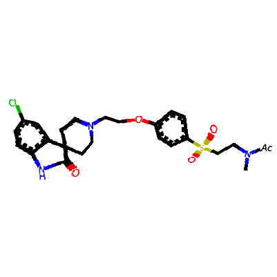 CC(=O)N(C)CCS(=O)(=O)c1ccc(OCCN2CCC3(CC2)C(=O)Nc2ccc(Cl)cc23)cc1